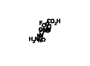 COCCc1nc2c(N)nc3ccccc3c2n1CCCN(Cc1cc(F)cc(OCC(=O)O)c1)C(=O)CCl